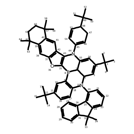 CC(C)(C)C1=CC2C3B(c4cc(C(C)(C)C)ccc4N2c2cccc4c2-c2ccccc2C4(C)C)c2oc4cc5c(cc4c2N(C2=CCC(C(C)(C)C)C=C2)C3=C1)C(C)(C)CCC5(C)C